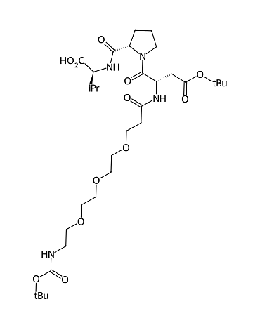 CC(C)[C@H](NC(=O)[C@@H]1CCCN1C(=O)[C@H](CC(=O)OC(C)(C)C)NC(=O)CCOCCOCCOCCNC(=O)OC(C)(C)C)C(=O)O